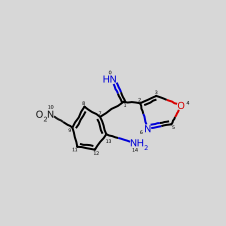 N=C(c1cocn1)c1cc([N+](=O)[O-])ccc1N